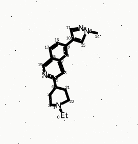 CCN1CCC(c2cc3cc(-c4cnn(C)c4)ccc3cn2)CC1